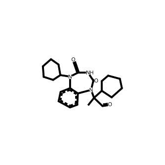 CC(C=O)(C1CCCCC1)N1C(=O)NC(=O)N(C2CCCCC2)c2ccccc21